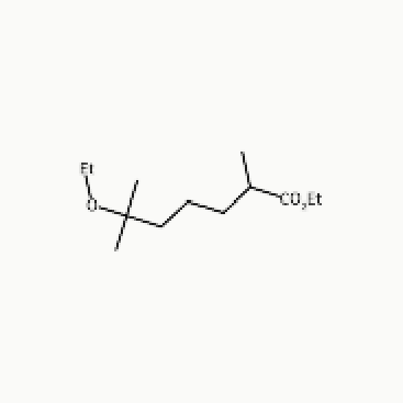 CCOC(=O)C(C)CCCC(C)(C)OCC